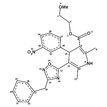 COCCOC(=O)C1=C(C)NC(C)=C(c2nc(Cc3ccccc3)no2)C1c1cccc([N+](=O)[O-])c1